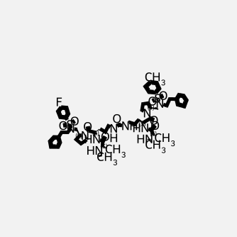 CN[C@@H](C)C(=O)N[C@@H](CCCNC(=O)NCCC[C@H](NC(=O)[C@H](C)NC)C(=O)N1CCC[C@H]1CN(CCc1ccccc1)S(=O)(=O)c1ccc(F)cc1)C(=O)N1CCC[C@H]1CN(CCc1ccccc1)S(=O)(=O)c1ccc(C)cc1